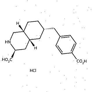 Cl.O=C(O)c1ccc(C[C@H]2CC[C@H]3CN[C@H](C(=O)O)C[C@H]3C2)cc1